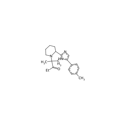 CCC(=O)C(C)(C)N1CCCCC1c1ncc(-c2ccc(C)cc2)[nH]1